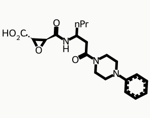 CCCC(CC(=O)N1CCN(c2ccccc2)CC1)NC(=O)[C@H]1O[C@@H]1C(=O)O